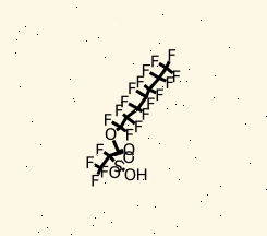 O=C(OC(F)(F)C(F)(F)C(F)(F)C(F)(F)C(F)(F)C(F)(F)C(F)(F)F)C(F)(C(F)(F)F)S(=O)(=O)O